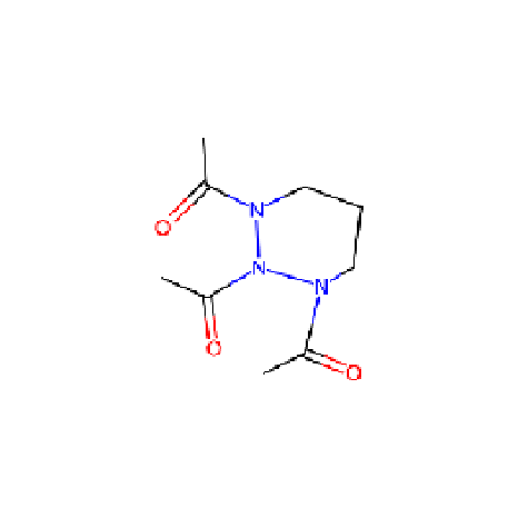 CC(=O)N1CCCN(C(C)=O)N1C(C)=O